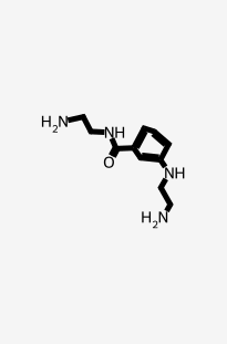 NCCNC(=O)c1cccc(NCCN)c1